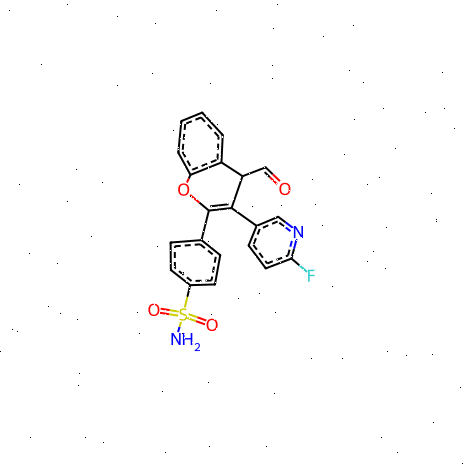 NS(=O)(=O)c1ccc(C2=C(c3ccc(F)nc3)C(C=O)c3ccccc3O2)cc1